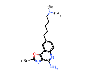 CCCCc1nc2c(N)nc3ccc(CCCCCN(C)C(C)(C)C)cc3c2o1